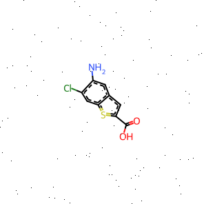 Nc1cc2cc(C(=O)O)sc2cc1Cl